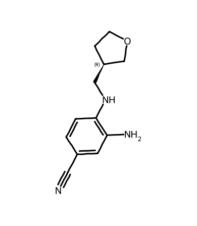 N#Cc1ccc(NC[C@H]2CCOC2)c(N)c1